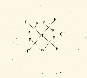 FC(F)(F)[N+](C(F)(F)F)(C(F)(F)F)C(F)(F)F.[Cl-]